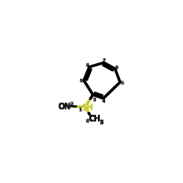 C[SH](N=O)C1=CCC=CC=C1